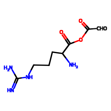 N=C(N)NCCCC(N)C(=O)OC(=O)C=O